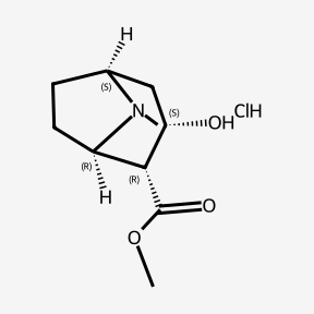 COC(=O)[C@@H]1[C@H]2CC[C@@H](C[C@@H]1O)N2C.Cl